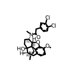 COc1ccc2c3c1O[C@H]1[C@@H](N(C)C(=O)Cc4ccc(Cl)c(Cl)c4)CC[C@@]4(O)[C@@H](C2)N(C)CC[C@]314